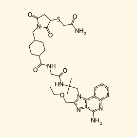 CCOCc1nc2c(N)nc3ccccc3c2n1CC(C)(C)NC(=O)CNC(=O)C1CCC(CN2C(=O)CC(SCC(N)=O)C2=O)CC1